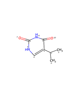 CC(C)c1c[nH]c(=O)[nH]c1=O